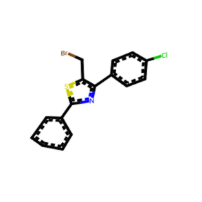 Clc1ccc(-c2nc(-c3ccccc3)sc2CBr)cc1